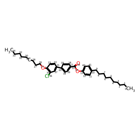 CCCCCCCCCCc1ccc(OC(=O)c2ccc(-c3ccc(OCCCCCCCCC)c(Cl)c3)cc2)cc1